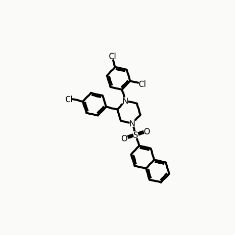 O=S(=O)(c1ccc2ccccc2c1)N1CCN(c2ccc(Cl)cc2Cl)C(c2ccc(Cl)cc2)C1